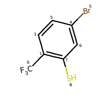 FC(F)(F)c1ccc(Br)cc1S